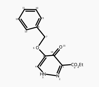 CCOC(=O)c1n[nH]cc(OCc2ccccc2)c1=O